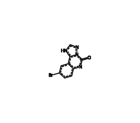 O=c1nc2ccc(Br)cc2c2[nH]cnn12